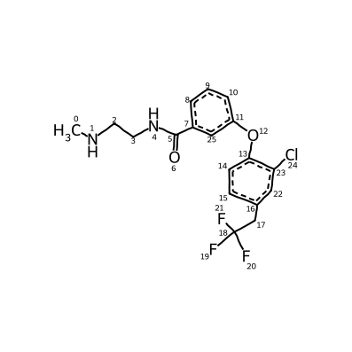 CNCCNC(=O)c1cccc(Oc2ccc(CC(F)(F)F)cc2Cl)c1